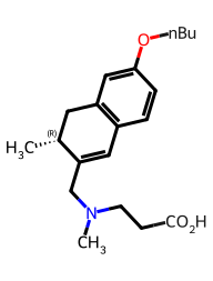 CCCCOc1ccc2c(c1)C[C@@H](C)C(CN(C)CCC(=O)O)=C2